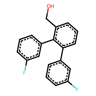 OCc1cccc(-c2cccc(F)c2)c1-c1cccc(F)c1